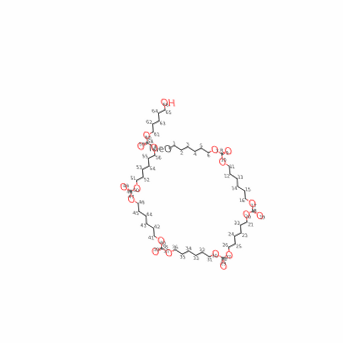 COCCCCCCOC(=O)OCCCCCCOC(=O)OCCCCCCOC(=O)OCCCCCCOC(=O)OCCCCCCOC(=O)OCCCCCCOC(=O)OCCCCCO